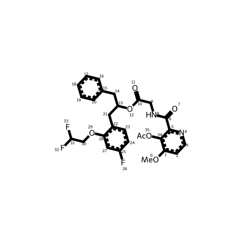 COc1ccnc(C(=O)NCC(=O)OC(Cc2ccccc2)Cc2ccc(F)cc2OCC(F)F)c1OC(C)=O